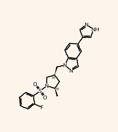 C[C@@H]1C[C@H](Cn2ncc3cc(-c4cn[nH]c4)ccc32)CN1S(=O)(=O)c1ccccc1F